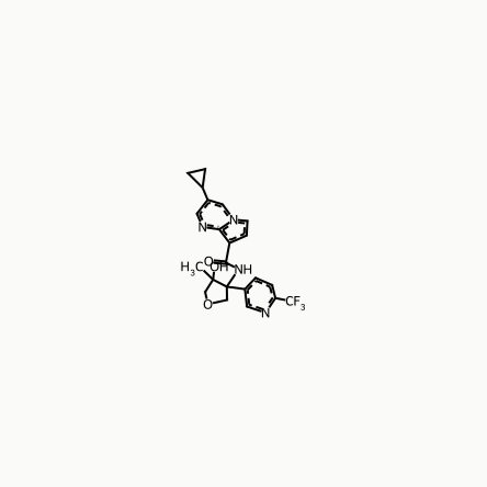 CC1(O)COCC1(NC(=O)c1ccn2cc(C3CC3)cnc12)c1ccc(C(F)(F)F)nc1